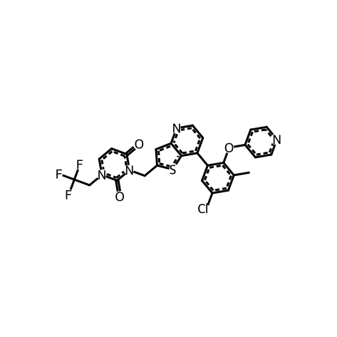 Cc1cc(Cl)cc(-c2ccnc3cc(Cn4c(=O)ccn(CC(F)(F)F)c4=O)sc23)c1Oc1ccncc1